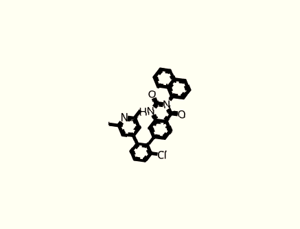 Cc1cc(-c2cccc(Cl)c2-c2ccc3c(=O)n(-c4cccc5ccccc45)c(=O)[nH]c3c2)cc(C)n1